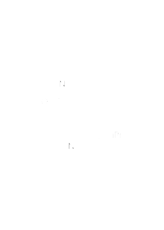 CC(C)c1ccnc(C=CC(=O)N(C)C)c1